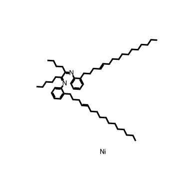 CCCCCCCCCCCC=CCCCc1ccccc1N=C(CCCC)C(CCCCC)=Nc1ccccc1CCCC=CCCCCCCCCCCC.[Ni]